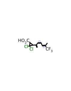 C=C(/C=C\C=C(/C)C(F)(F)F)C1C(C(=O)O)C1(Cl)Cl